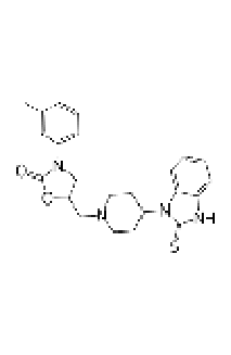 Cc1cccc(N2CC(CN3CCC(n4c(=S)[nH]c5ccccc54)CC3)OC2=O)c1